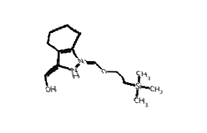 C[Si](C)(C)CCOC=[n+]1[nH]c(=CO)c2c1CCCC2